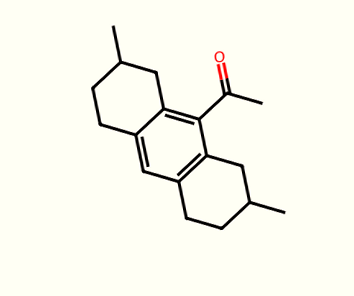 CC(=O)c1c2c(cc3c1CC(C)CC3)CCC(C)C2